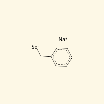 [Na+].[Se-]Cc1ccccc1